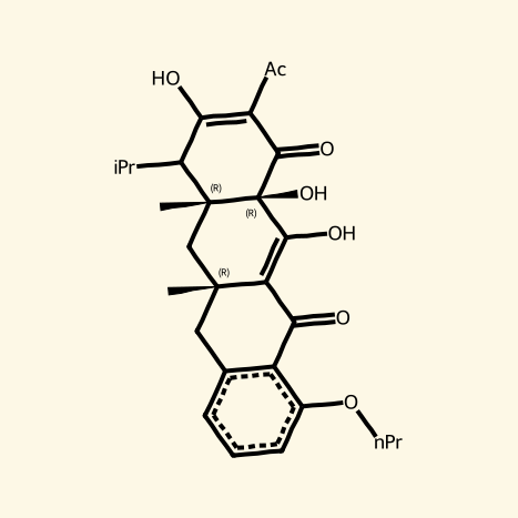 CCCOc1cccc2c1C(=O)C1=C(O)[C@@]3(O)C(=O)C(C(C)=O)=C(O)C(C(C)C)[C@@]3(C)C[C@@]1(C)C2